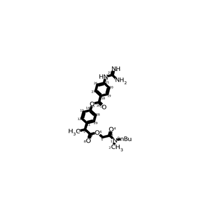 CCCCN(C)C(=O)COC(=O)C(C)c1ccc(OC(=O)c2ccc(NC(=N)N)cc2)cc1